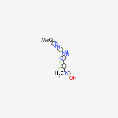 C=C(c1ccc(-c2cc3nnn(C4CCN(c5ncc(OC)cn5)CC4)c3cn2)c(F)c1F)N1CC[C@@H](O)C1